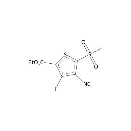 [C-]#[N+]c1c(S(C)(=O)=O)sc(C(=O)OCC)c1I